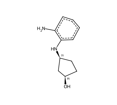 Nc1ccccc1N[C@H]1CC[C@@H](O)C1